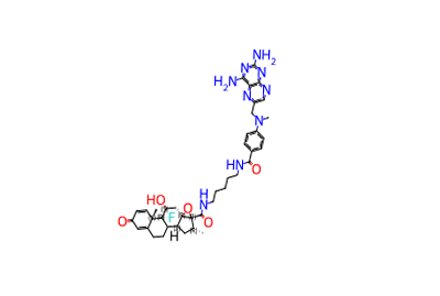 C[C@@H]1C[C@H]2C3CCC4=CC(=O)C=C[C@]4(C)[C@@]3(F)[C@@H](O)C[C@@]23O[C@]13C(=O)NCCCCCNC(=O)c1ccc(N(C)Cc2cnc3nc(N)nc(N)c3n2)cc1